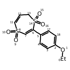 CCOc1ccc(C2=CS(=O)(=O)C=CCS2(=O)=O)cc1